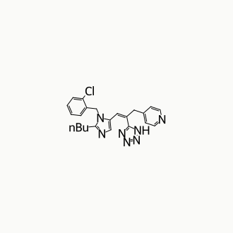 CCCCc1ncc(C=C(Cc2ccncc2)c2nnn[nH]2)n1Cc1ccccc1Cl